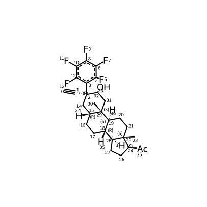 C#C[C@@]1(c2c(F)c(F)c(F)c(F)c2F)C[C@H]2CC[C@@H]3[C@H](CC[C@]4(C)[C@@H](C(C)=O)CC[C@@H]34)[C@@]2(C)CC1O